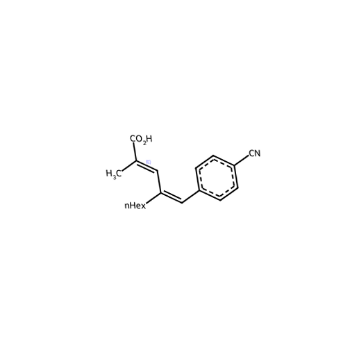 CCCCCCC(=Cc1ccc(C#N)cc1)/C=C(\C)C(=O)O